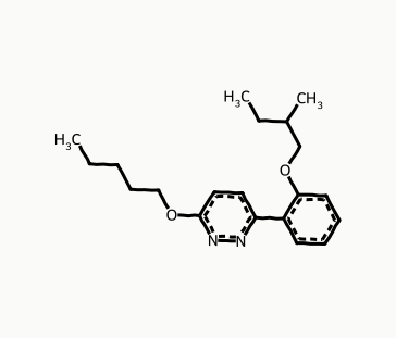 CCCCCOc1ccc(-c2ccccc2OCC(C)CC)nn1